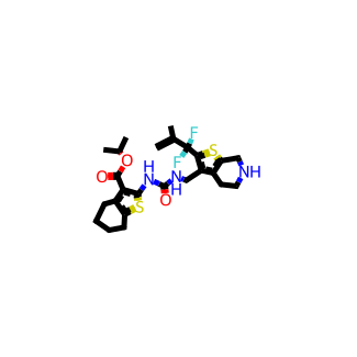 C=C(C)C(F)(F)c1sc2c(c1CNC(=O)Nc1sc3c(c1C(=O)OC(C)C)CCCC3)CCNC2